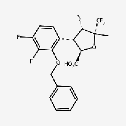 C[C@H]1[C@@H](c2ccc(F)c(F)c2OCc2ccccc2)[C@H](C(=O)O)O[C@@]1(C)C(F)(F)F